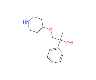 CC(O)(COC1CCNCC1)c1ccccc1